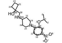 CC(C)Oc1cc([N+](=O)[O-])ccc1N1CCC(NCC2(O)CCC2)CC1